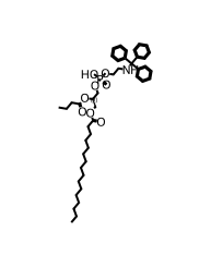 CCCCCCCCCCCCCCCC(=O)OC[C@H](COP(=O)(O)OCCNC(c1ccccc1)(c1ccccc1)c1ccccc1)OC(=O)CCC